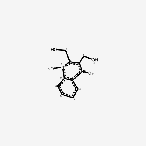 [O-][n+]1c(CO)c(CO)[n+]([O-])c2ccccc21